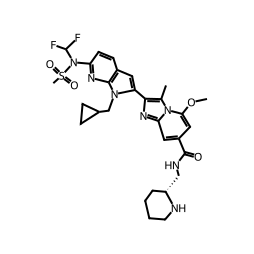 COc1cc(C(=O)NC[C@H]2CCCCN2)cc2nc(-c3cc4ccc(N(C(F)F)S(C)(=O)=O)nc4n3CC3CC3)c(C)n12